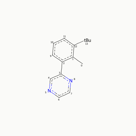 Cc1c(-c2cnccn2)cccc1C(C)(C)C